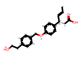 CC=C[C@H](CC(=O)O)c1ccc(OCc2ccc(CCO)cc2)cc1